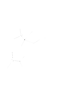 CC(O)N(C)C.CN(C)C(C)(C)CO